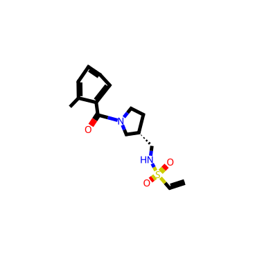 C=CS(=O)(=O)NC[C@H]1CCN(C(=O)c2ccccc2C)C1